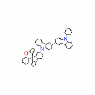 c1ccc(-n2c3ccccc3c3cc(-c4ccc5c(c4)c4ccccc4n5-c4ccc5c(c4)C4(c6ccccc6Oc6ccccc64)c4ccccc4-5)ccc32)cc1